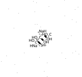 O=C(O)O.O=C(O)O.O=S(=O)(O)S.[NaH].[NaH]